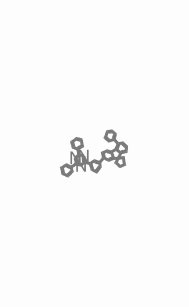 c1ccc(-c2nc(-c3ccccc3)nc(-c3cccc(-c4ccc5c(c4)C4(CCCC4)c4cccc(-c6ccccc6)c4-5)c3)n2)cc1